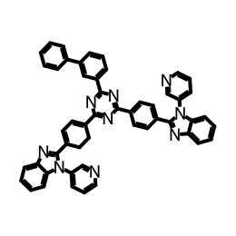 C1=C(c2nc(-c3ccc(-c4nc5ccccc5n4-c4cccnc4)cc3)nc(-c3cccc(-c4ccccc4)c3)n2)CCC(c2nc3ccccc3n2-c2cccnc2)=C1